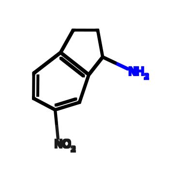 NC1CCc2ccc([N+](=O)[O-])cc21